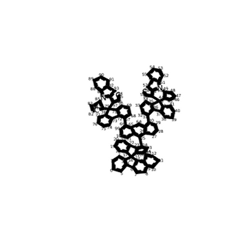 c1ccc2c(c1)-c1ccc3ccccc3c1C21c2ccccc2-c2c(-c3c4cccc(-c5cccc6c5-c5ccccc5C65c6ccccc6-n6c7ccccc7c7cccc5c76)c4cc4c(-c5cccc6c5-c5ccccc5C65c6ccccc6-n6c7ccccc7c7cccc5c76)cccc34)cccc21